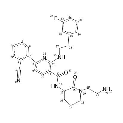 N#Cc1ccccc1-c1ccc(C(=O)NC2CCCN(CCN)C2=O)c(NCCc2cccc(F)c2)n1